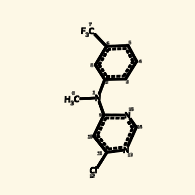 CN(c1cccc(C(F)(F)F)c1)c1cc(Cl)ncn1